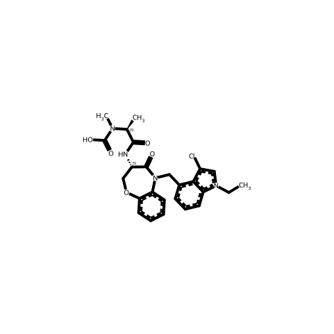 CCn1cc(Cl)c2c(CN3C(=O)[C@@H](NC(=O)[C@H](C)N(C)C(=O)O)COc4ccccc43)cccc21